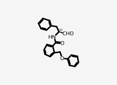 O=C[C@H](Cc1ccccc1)NC(=O)c1ccccc1COc1ccccc1